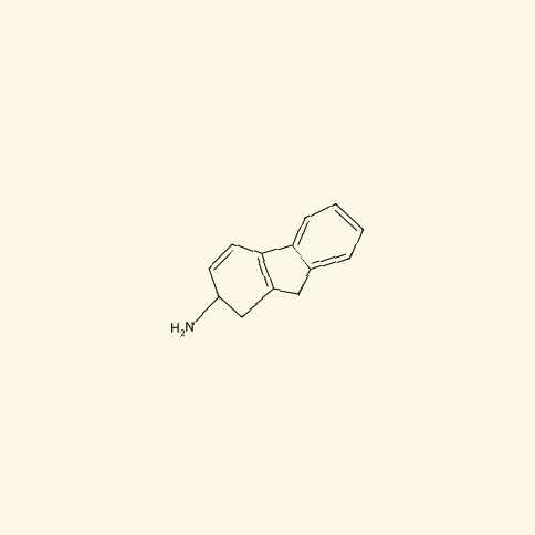 NC1C=CC2=C(Cc3ccccc32)C1